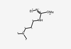 CC/N=C(\NCCCN(C)C)OC